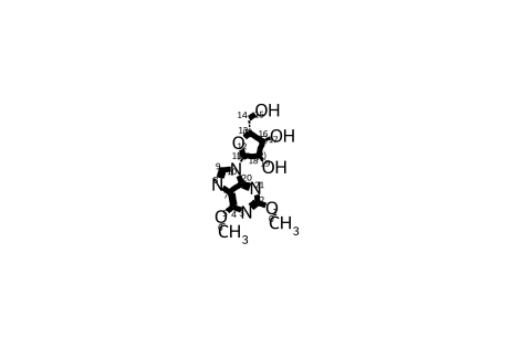 COc1nc(OC)c2ncn([C@@H]3O[C@H](CO)[C@@H](O)[C@H]3O)c2n1